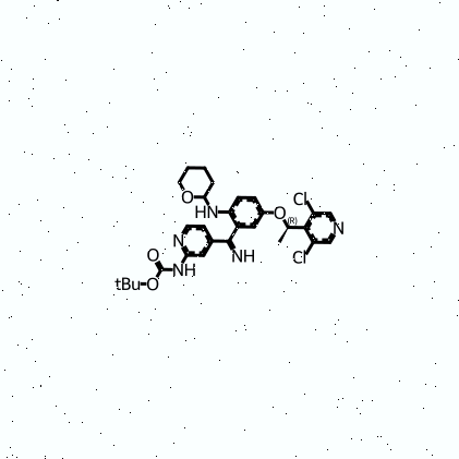 C[C@@H](Oc1ccc(NC2CCCCO2)c(C(=N)c2ccnc(NC(=O)OC(C)(C)C)c2)c1)c1c(Cl)cncc1Cl